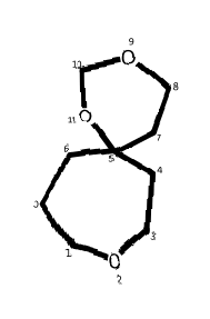 C1COCCC2(C1)CCOCO2